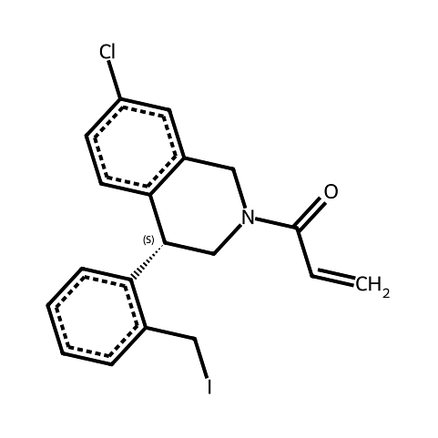 C=CC(=O)N1Cc2cc(Cl)ccc2[C@@H](c2ccccc2CI)C1